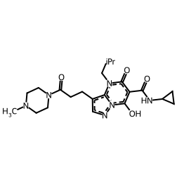 CC(C)Cn1c(=O)c(C(=O)NC2CC2)c(O)n2ncc(CCC(=O)N3CCN(C)CC3)c12